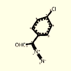 [N-]=[N+]=C(C=O)c1ccc(Cl)cc1